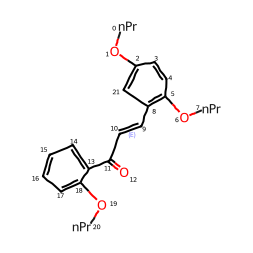 CCCOc1ccc(OCCC)c(/C=C/C(=O)c2ccccc2OCCC)c1